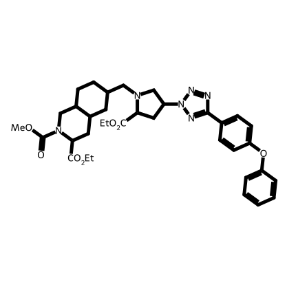 CCOC(=O)C1CC(n2nnc(-c3ccc(Oc4ccccc4)cc3)n2)CN1CC1CCC2CN(C(=O)OC)C(C(=O)OCC)CC2C1